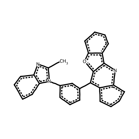 Cc1nc2ccccc2n1-c1cccc(-c2c3ccccc3nc3c2oc2ccccc23)c1